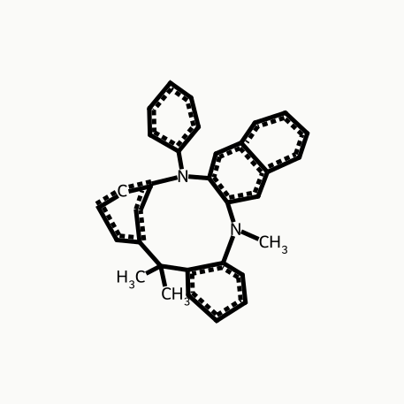 CN1c2cc3ccccc3cc2N(c2ccccc2)c2cccc(c2)C(C)(C)c2ccccc21